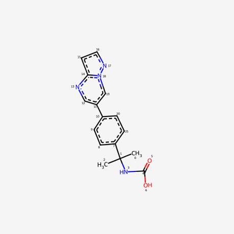 CC(C)(NC(=O)O)c1ccc(-c2cnc3ccnn3c2)cc1